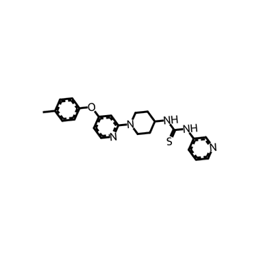 Cc1ccc(Oc2ccnc(N3CCC(NC(=S)Nc4cccnc4)CC3)c2)cc1